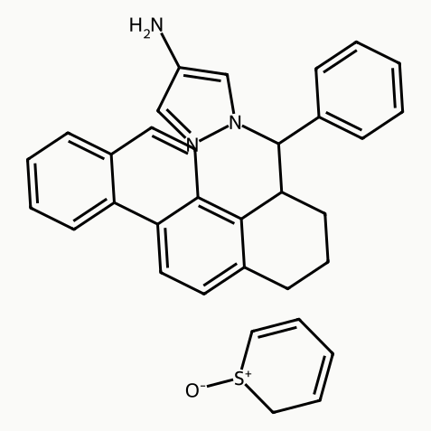 Nc1cnn(C(c2ccccc2)C2CCCc3ccc4c(ccc5ccccc54)c32)c1.[O-][S+]1C=CC=CC1